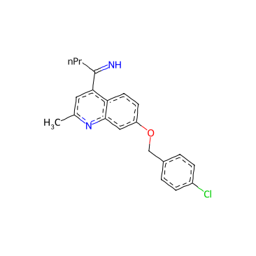 CCCC(=N)c1cc(C)nc2cc(OCc3ccc(Cl)cc3)ccc12